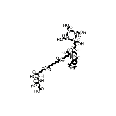 CC(C)S(F)(c1ccc(C(=O)NCC(NC(=O)CCC(C(=O)O)N2CCN(CC(=O)O)CCN(CC(=O)O)CCN(CC(=O)O)CC2)C(=O)NC(CCCCNC(=O)CCCCCCC(=O)NCCCC[C@H](NC(=O)N[C@@H](CCC(=O)O)C(=O)O)C(=O)O)C(=O)O)cc1)C(C)(C)C